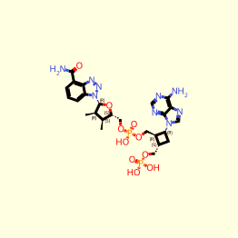 C[C@@H]1[C@H](C)[C@@H](COP(=O)(O)OC[C@@H]2[C@@H](COP(=O)(O)O)C[C@H]2n2cnc3c(N)ncnc32)O[C@H]1n1nnc2c(C(N)=O)cccc21